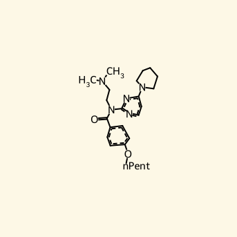 CCCCCOc1ccc(C(=O)N(CCN(C)C)c2nccc(N3CCCCC3)n2)cc1